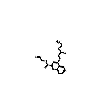 CCOC(=O)COc1cc(C(=O)OCC=O)nc2ccccc12